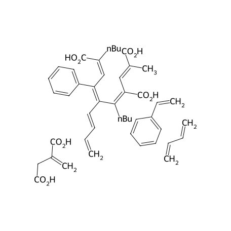 C=C(CC(=O)O)C(=O)O.C=CC=C.C=CC=CC(C(CCCC)=C(C=C(C)C(=O)O)C(=O)O)=C(C=C(CCCC)C(=O)O)c1ccccc1.C=Cc1ccccc1